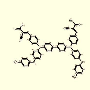 [C-]#[N+]/C(=C\c1ccc(N(c2ccc(Oc3ccc(C)cc3)cc2)c2ccc(-c3ccc(N(c4ccc(/C=C(\C#N)C(=O)O)cc4)c4ccc(Oc5ccc(C)cc5)cc4)cc3)cc2)cc1)C(=O)O